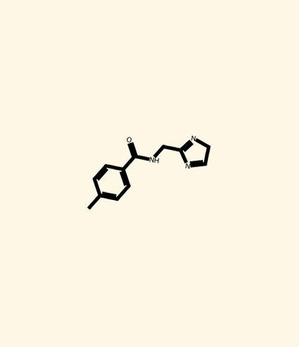 Cc1ccc(C(=O)NCC2=NCC=N2)cc1